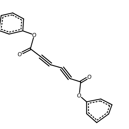 O=C(C#CC#CC(=O)Oc1ccccc1)Oc1ccccc1